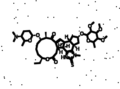 CC[C@H]1CCC[C@H](O[C@H]2CC[C@H](N(C)C)C(C)O2)[C@@H](C)C(=O)C2=C[C@H]3[C@@H]4C[C@H](OC5OC(C)C(OC)C(OC)C5OC)C[C@H]4c4c([nH]c(=S)n4C)[C@H]3[C@@H]2CC(=O)O1